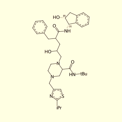 CC(C)c1nc(CN2CCN(CC(O)CC(Cc3ccccc3)C(=O)N[C@H]3c4ccccc4C[C@H]3O)C(C(=O)NC(C)(C)C)C2)cs1